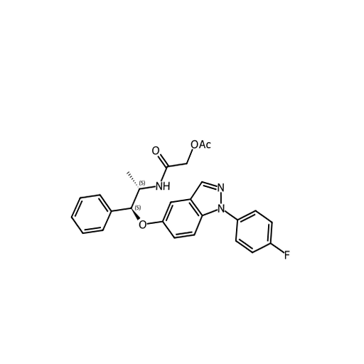 CC(=O)OCC(=O)N[C@@H](C)[C@@H](Oc1ccc2c(cnn2-c2ccc(F)cc2)c1)c1ccccc1